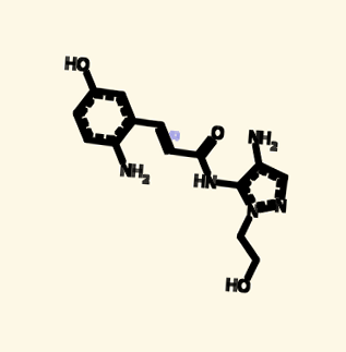 Nc1ccc(O)cc1/C=C/C(=O)Nc1c(N)cnn1CCO